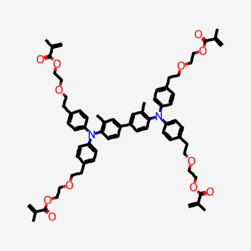 C=C(C)C(=O)OCCOCCc1ccc(N(c2ccc(CCOCCOC(=O)C(=C)C)cc2)c2ccc(-c3ccc(N(c4ccc(CCOCCOC(=O)C(=C)C)cc4)c4ccc(CCOCCOC(=O)C(=C)C)cc4)c(C)c3)cc2C)cc1